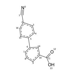 N#Cc1ccc(-c2cccc(C(=O)O)c2)cc1